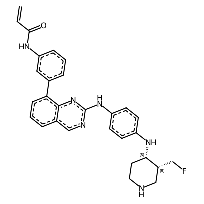 C=CC(=O)Nc1cccc(-c2cccc3cnc(Nc4ccc(N[C@H]5CCNC[C@H]5CF)cc4)nc23)c1